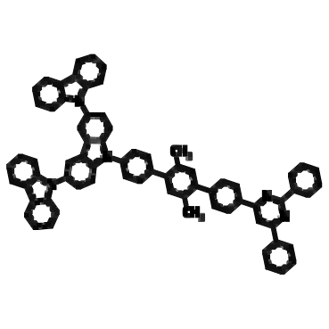 Cc1cc(-c2ccc(-n3c4ccc(-n5c6ccccc6c6ccccc65)cc4c4cc(-n5c6ccccc6c6ccccc65)ccc43)cc2)c(C)cc1-c1ccc(-c2cc(-c3ccccc3)nc(-c3ccccc3)n2)cc1